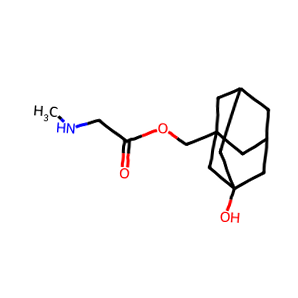 CNCC(=O)OCC12CC3CC(CC(O)(C3)C1)C2